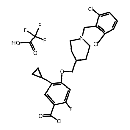 O=C(Cl)c1cc(C2CC2)c(OCC2CCN(Cc3c(Cl)cccc3Cl)CC2)cc1F.O=C(O)C(F)(F)F